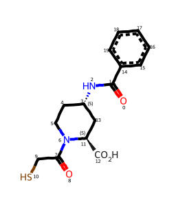 O=C(N[C@H]1CCN(C(=O)CS)[C@H](C(=O)O)C1)c1ccccc1